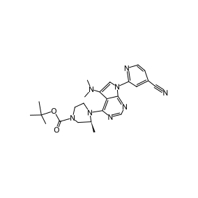 C[C@H]1CN(C(=O)OC(C)(C)C)CCN1c1ncnc2c1c(N(C)C)cn2-c1cc(C#N)ccn1